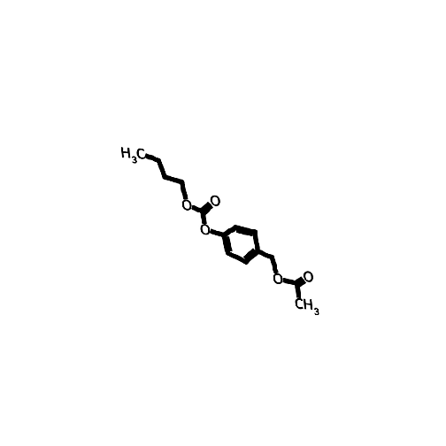 CCCCOC(=O)Oc1ccc(COC(C)=O)cc1